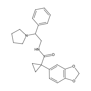 O=C(NCC(c1ccccc1)N1CCCC1)C1(c2ccc3c(c2)OCO3)CC1